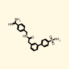 N=C(N)c1ccc(CNC(=O)Cc2cccc(-c3ccc(S(N)(=O)=O)cc3)c2)cc1